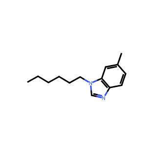 CCCCCCn1cnc2ccc(C)cc21